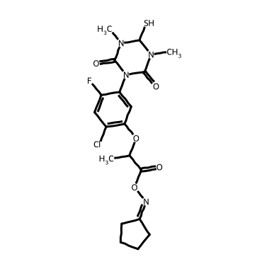 CC(Oc1cc(N2C(=O)N(C)C(S)N(C)C2=O)c(F)cc1Cl)C(=O)ON=C1CCCC1